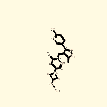 Cc1onc(-c2ccc(Cl)nc2)c1Cn1ncc(N2CC(OC(F)(F)F)C2)cc1=O